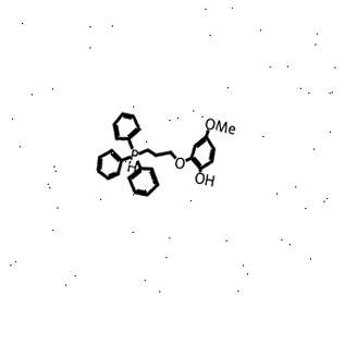 COc1ccc(O)c(OCCC[PH](c2ccccc2)(c2ccccc2)c2ccccc2)c1